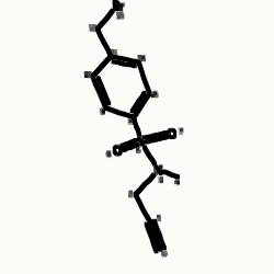 C#CCN(C)S(=O)(=O)c1ccc(CBr)cc1